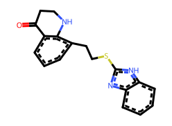 O=C1CCNc2c(CCSc3nc4ccccc4[nH]3)cccc21